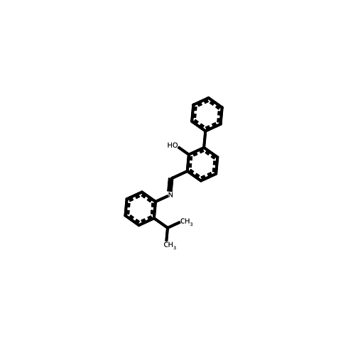 CC(C)c1ccccc1/N=C/c1cccc(-c2ccccc2)c1O